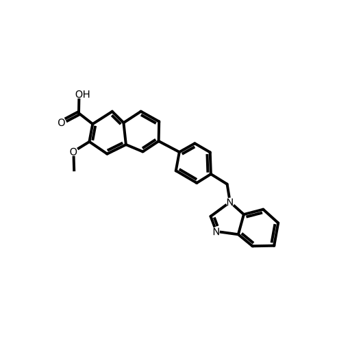 COc1cc2cc(-c3ccc(Cn4cnc5ccccc54)cc3)ccc2cc1C(=O)O